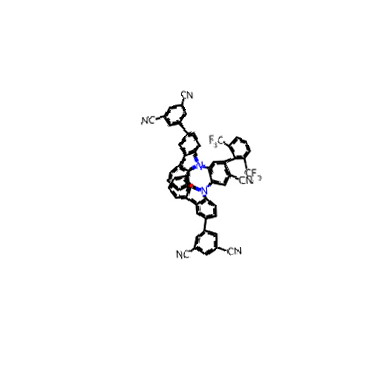 N#Cc1cc(C#N)cc(-c2ccc3c(c2)c2ccccc2n3-c2cc(C#N)c(-c3c(C(F)(F)F)cccc3C(F)(F)F)cc2-n2c3ccccc3c3cc(-c4cc(C#N)cc(C#N)c4)ccc32)c1